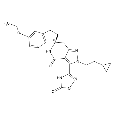 O=C1N[C@@]2(CCc3cc(OCC(F)(F)F)ccc32)Cc2nn(CCC3CC3)c(-c3noc(=O)[nH]3)c21